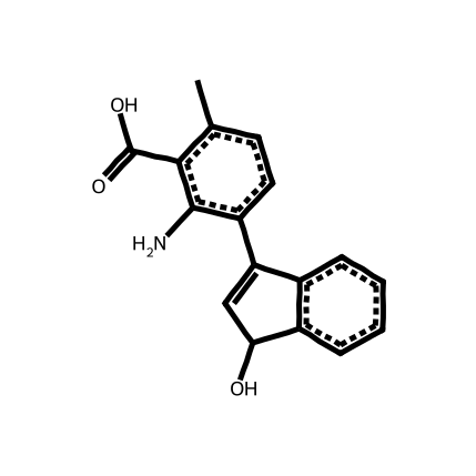 Cc1ccc(C2=CC(O)c3ccccc32)c(N)c1C(=O)O